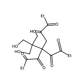 CCC(=O)C(=O)CC(C(=O)C(=O)CC)(C(=O)C(=O)CC)C(CO)(CO)CO